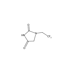 O=C1CN(CC(F)(F)F)C(=O)N1